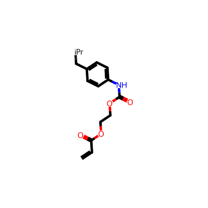 C=CC(=O)OCCOC(=O)Nc1ccc(CC(C)C)cc1